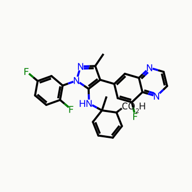 Cc1nn(-c2cc(F)ccc2F)c(NC2(C)C=CC=CC2C(=O)O)c1-c1cc(F)c2nccnc2c1